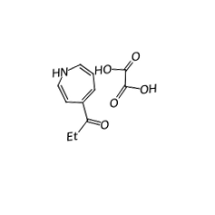 CCC(=O)C1=CC=CNC=C1.O=C(O)C(=O)O